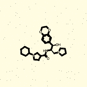 O=C(N[C@H](CN1CCCC1)[C@H](O)c1ccc2c(c1)OCCO2)C1CCN(C2CCCCC2)C1